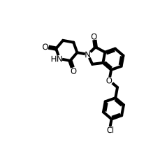 O=C1CCC(N2Cc3c(OCc4ccc(Cl)cc4)cccc3C2=O)C(=O)N1